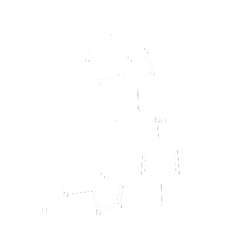 Cc1cc(F)c(-c2nnc(N(C)C)[nH]2)cc1NC(=O)c1cnn2ccccc12